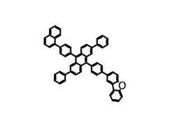 c1ccc(-c2ccc3c(-c4ccc(-c5cccc6ccccc56)cc4)c4cc(-c5ccccc5)ccc4c(-c4ccc(-c5ccc6oc7ccccc7c6c5)cc4)c3c2)cc1